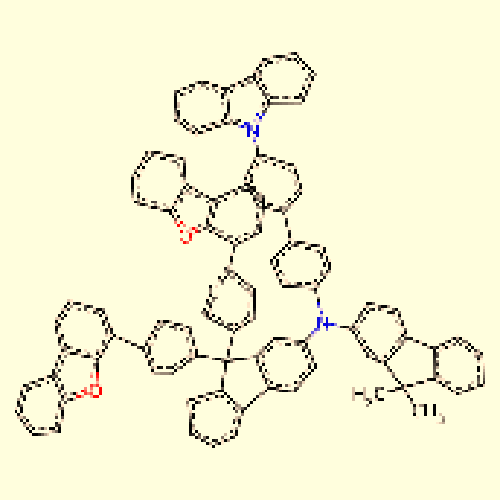 CC1(C)c2ccccc2-c2ccc(N(c3ccc(-c4ccc(-n5c6ccccc6c6ccccc65)cc4)cc3)c3ccc4c(c3)C(c3ccc(-c5cccc6c5oc5ccccc56)cc3)(c3ccc(-c5cccc6c5oc5ccccc56)cc3)c3ccccc3-4)cc21